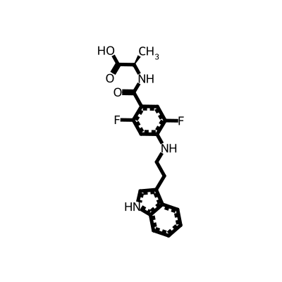 C[C@@H](NC(=O)c1cc(F)c(NCCc2c[nH]c3ccccc23)cc1F)C(=O)O